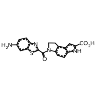 Nc1ccc2nc(C(=O)N3CCc4c3ccc3[nH]c(C(=O)O)cc43)sc2c1